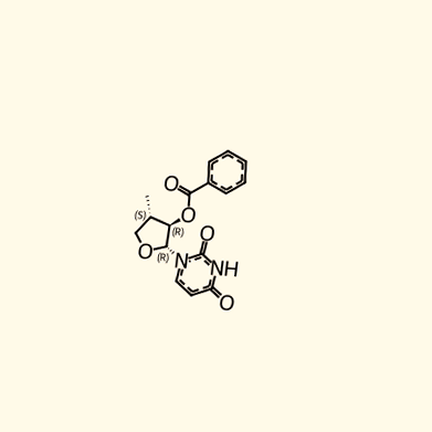 C[C@H]1CO[C@@H](n2ccc(=O)[nH]c2=O)[C@@H]1OC(=O)c1ccccc1